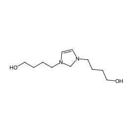 OCCCCN1C=CN(CCCCO)C1